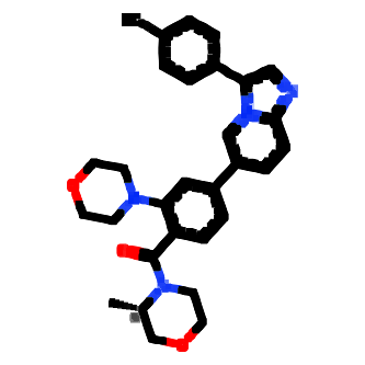 C[C@H]1COCCN1C(=O)c1ccc(-c2ccc3ncc(-c4ccc(C#N)cc4)n3c2)cc1N1CCOCC1